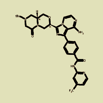 CC(C)(C)N1CC(=O)N2C[C@H](c3nc(-c4ccc(C(=O)Nc5cc(C(F)(F)F)ccn5)cc4)c4c(N)nccn34)OC[C@H]2C1